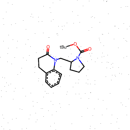 CC(C)(C)OC(=O)N1CCCC1CN1C(=O)CCc2ccccc21